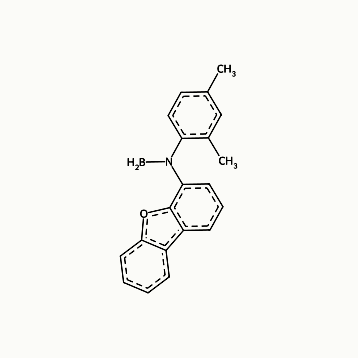 BN(c1ccc(C)cc1C)c1cccc2c1oc1ccccc12